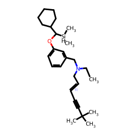 CCN(C/C=C/C#CC(C)(C)C)Cc1cccc(OC(C2CCCCC2)[SiH](C)C)c1